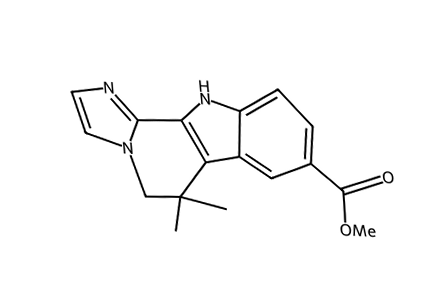 COC(=O)c1ccc2[nH]c3c(c2c1)C(C)(C)Cn1ccnc1-3